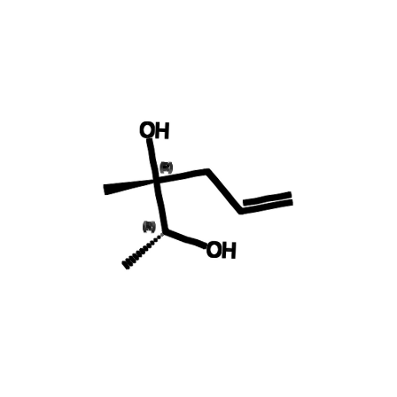 C=CC[C@@](C)(O)[C@@H](C)O